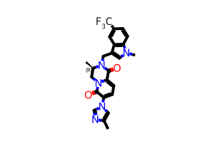 Cc1cn(-c2ccc3n(c2=O)C[C@@H](C)N(Cc2cn(C)c4ccc(C(F)(F)F)cc24)C3=O)cn1